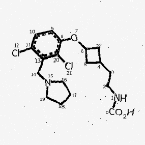 O=C(O)NCCC1CC(Oc2ccc(Cl)c(CN3CCCC3)c2Cl)C1